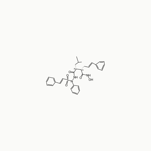 CC(C)C[C@@H](C(=O)NN(c1ccccc1)S(=O)(=O)C=Cc1ccccc1)[C@H](CC=Cc1ccccc1)C(=O)NO